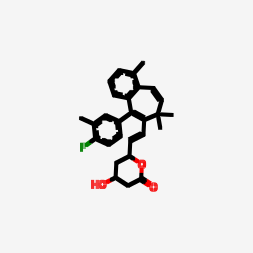 Cc1cc(C2=C(C=CC3CC(O)CC(=O)O3)C(C)(C)C=Cc3c(C)cccc32)ccc1F